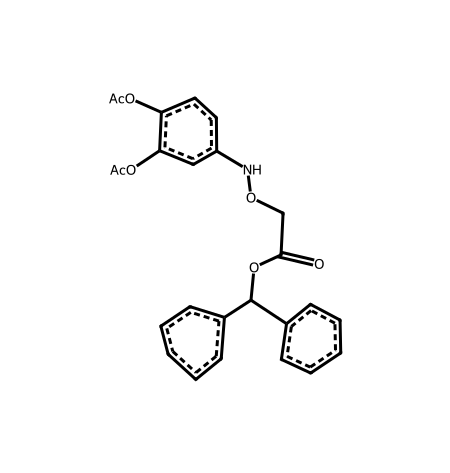 CC(=O)Oc1ccc(NOCC(=O)OC(c2ccccc2)c2ccccc2)cc1OC(C)=O